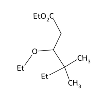 CCOC(=O)CC(OCC)C(C)(C)CC